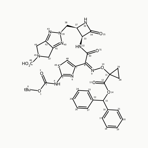 CC(C)(C)OC(=O)Nc1nc(/C(=N/OC2(C(=O)OC(c3ccccc3)c3ccccc3)CC2)C(=O)N[C@@H]2C(=O)N[C@@H]2Cn2nc3c(n2)CN(C(=O)O)C3)cs1